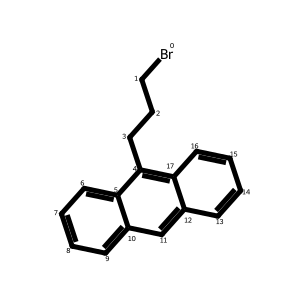 BrCCCc1c2ccccc2cc2ccccc12